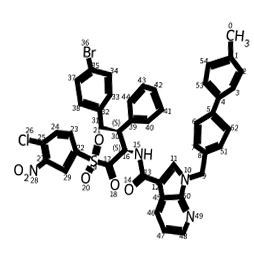 Cc1ccc(-c2ccc(Cn3cc(C(=O)N[C@H](C(=O)S(=O)(=O)c4ccc(Cl)c([N+](=O)[O-])c4)[C@@H](Cc4ccc(Br)cc4)c4ccccc4)c4cccnc43)cc2)cc1